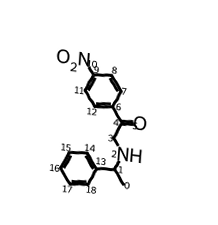 CC(NCC(=O)c1ccc([N+](=O)[O-])cc1)c1ccccc1